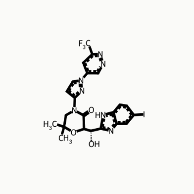 CC1(C)CN(c2ccn(-c3cnnc(C(F)(F)F)c3)n2)C(=O)C([C@@H](O)c2nc3cc(I)ccc3[nH]2)O1